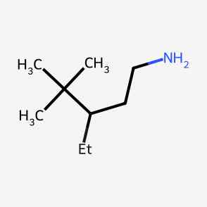 [CH2]CC(CCN)C(C)(C)C